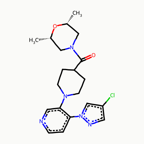 C[C@@H]1CN(C(=O)C2CCN(c3cnccc3-n3cc(Cl)cn3)CC2)C[C@H](C)O1